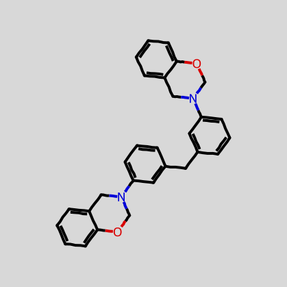 c1cc(Cc2cccc(N3COc4ccccc4C3)c2)cc(N2COc3ccccc3C2)c1